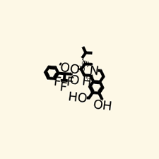 COC(C(=O)O[C@@H]1C[C@H]2c3cc(CO)c(CO)cc3CCN2C[C@H]1CC(C)C)(c1ccccc1)C(F)(F)F